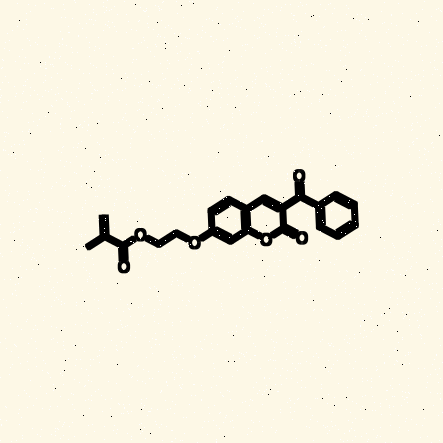 C=C(C)C(=O)OCCOc1ccc2cc(C(=O)c3ccccc3)c(=O)oc2c1